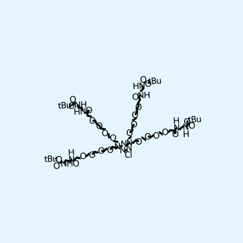 CC(C)(C)OC(=O)NCCNC(=O)CCOCCOCCOCCOCCN(CCOCCOCCOCCOCCC(=O)NCCNC(=O)OC(C)(C)C)c1nc(Cl)nc(N(CCOCCOCCOCCOCCC(=O)NCCNC(=O)OC(C)(C)C)CCOCCOCCOCCOCCC(=O)NCCNC(=O)OC(C)(C)C)n1